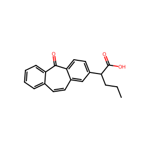 CCCC(C(=O)O)c1ccc2c(=O)c3ccccc3ccc2c1